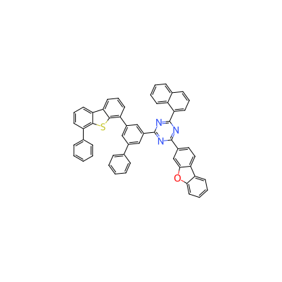 c1ccc(-c2cc(-c3nc(-c4ccc5c(c4)oc4ccccc45)nc(-c4cccc5ccccc45)n3)cc(-c3cccc4c3sc3c(-c5ccccc5)cccc34)c2)cc1